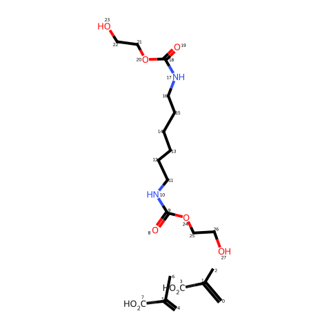 C=C(C)C(=O)O.C=C(C)C(=O)O.O=C(NCCCCCCNC(=O)OCCO)OCCO